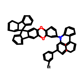 CCc1cccc(-c2cccc(N(c3ccc4c(c3)Oc3cc5c(cc3O4)C3(C4=CC=CCC4c4ccccc43)c3ccccc3-5)c3ccccc3C3=CCCC=C3)c2)c1